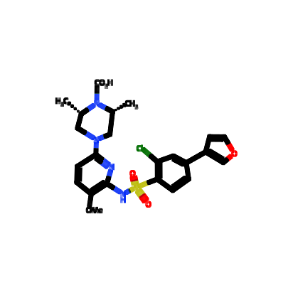 COc1ccc(N2C[C@@H](C)N(C(=O)O)[C@@H](C)C2)nc1NS(=O)(=O)c1ccc(-c2ccoc2)cc1Cl